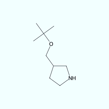 CC(C)(C)OCC1CCNC1